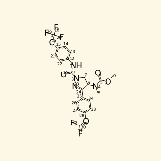 COC(=O)N(C)C1CN(C(=O)Nc2ccc(OC(F)(F)F)cc2)N=C1c1ccc(OC(F)F)cc1